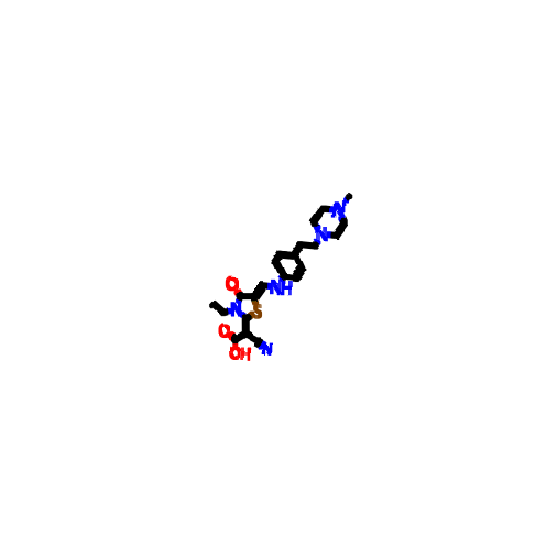 CCn1c(=C(C#N)C(=O)O)sc(=CNc2ccc(CCN3CCN(C)CC3)cc2)c1=O